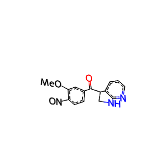 COc1cc(C(=O)C2CNc3ncccc32)ccc1N=O